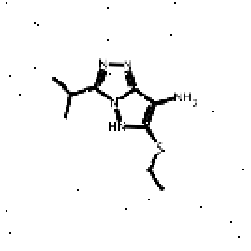 CCSc1[nH]n2c(C(C)C)nnc2c1N